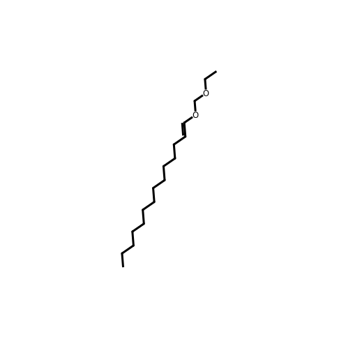 CCCCCCCCCCCCC=COCOCC